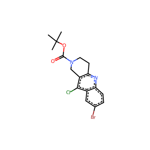 CC(C)(C)OC(=O)N1CCc2nc3ccc(Br)cc3c(Cl)c2C1